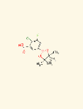 CC1(C)OB(c2cc(F)c(Cl)c(C(=O)O)c2)OC1(C)C